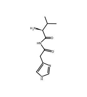 CC(C)[C@H](N)C(=O)NC(=O)Cc1c[nH]cn1